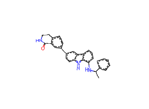 CC(Nc1cccc2c1[nH]c1ccc(-c3ccc4c(c3)C(=O)NCC4)cc12)c1ccccc1